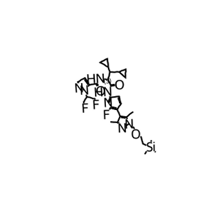 Cc1nn(COCC[Si](C)(C)C)c(C)c1-c1ccc(NC(=O)[C@@H](NC(=O)c2ccnn2C(CF)CF)C(C2CC2)C2CC2)nc1F